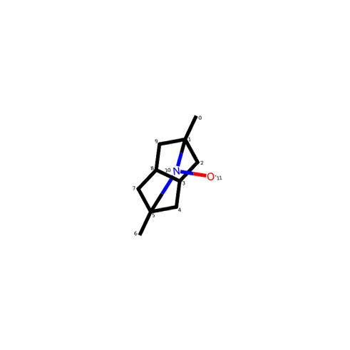 CC12CC3CC(C)(CC3C1)N2[O]